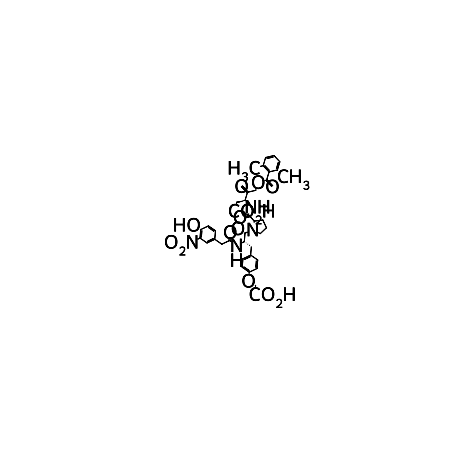 Cc1cccc(C)c1C(=O)OCC(=O)[C@H](CC(=O)O)NC(=O)C1CCCN1C(=O)[C@H](Cc1ccc(OCC(=O)O)cc1)NC(=O)Cc1ccc(O)c([N+](=O)[O-])c1